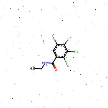 BCNC(=O)c1cc(F)c(F)c(F)c1F.[K]